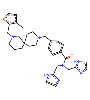 Cc1ccsc1CN1CCCC2(CCN(Cc3ccc(C(=O)N(Cc4ncc[nH]4)Cc4ncc[nH]4)cc3)CC2)C1